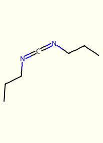 CCCN=C=NCCC